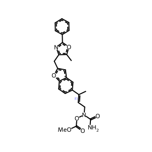 COC(=O)ON(C/C=C(\C)c1ccc2oc(Cc3nc(-c4ccccc4)oc3C)cc2c1)C(N)=O